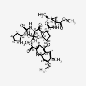 C=C[C@@H]1C[C@]1(NC(=O)[C@@H]1C[C@H](Oc2cc(C(=O)OC)nc3cc(OC)c(C)cc23)CN1C(=O)[C@@H](NC(=O)NC1CCCC1)C(C)(C)C)C(=O)OC